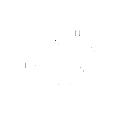 CC1(C=O)N=NN=N1